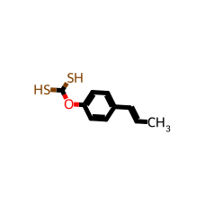 CC=Cc1ccc(OC(S)S)cc1